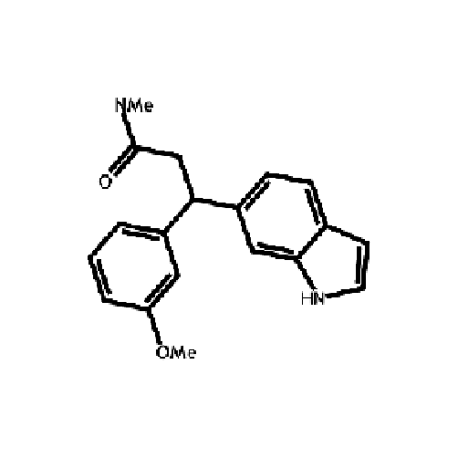 CNC(=O)CC(c1cccc(OC)c1)c1ccc2cc[nH]c2c1